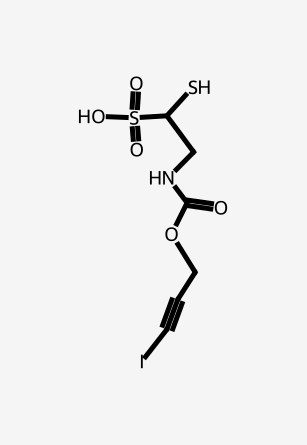 O=C(NCC(S)S(=O)(=O)O)OCC#CI